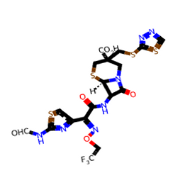 O=CNc1nc(C(=NOCC(F)(F)F)C(=O)NC2C(=O)N3CC(CSc4nncs4)(C(=O)O)CS[C@H]23)cs1